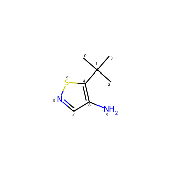 CC(C)(C)c1sncc1N